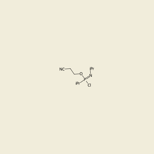 CC(C)N=P(Cl)(OCCC#N)C(C)C